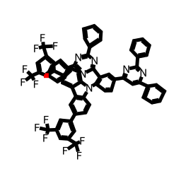 FC(F)(F)c1cc(-c2ccc3c(c2)c2cc(-c4cc(C(F)(F)F)cc(C(F)(F)F)c4)ccc2n3-c2ccc(-c3cc(-c4ccccc4)nc(-c4ccccc4)n3)cc2-c2nc(-c3ccccc3)nc(-c3ccccc3)n2)cc(C(F)(F)F)c1